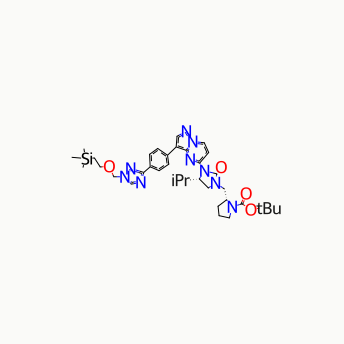 CC(C)[C@H]1CN(C[C@H]2CCCN2C(=O)OC(C)(C)C)C(=O)N1c1ccn2ncc(-c3ccc(-c4ncn(COCC[Si](C)(C)C)n4)cc3)c2n1